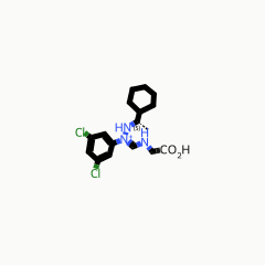 C[C@H](N[N+](=CNCC(=O)O)c1cc(Cl)cc(Cl)c1)C1CCCCC1